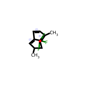 CC1=C\CC(C)/C=C(C(F)(F)F)/C=C\1